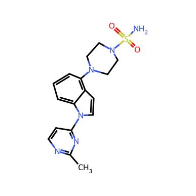 Cc1nccc(-n2ccc3c(N4CCN(S(N)(=O)=O)CC4)cccc32)n1